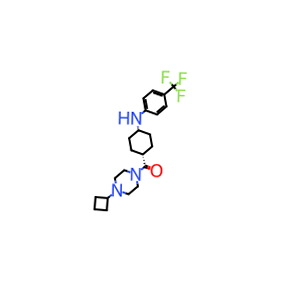 O=C([C@H]1CC[C@@H](Nc2ccc(C(F)(F)F)cc2)CC1)N1CCN(C2CCC2)CC1